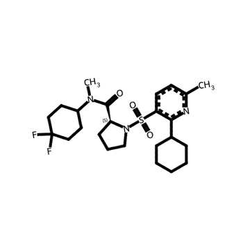 Cc1ccc(S(=O)(=O)N2CCC[C@H]2C(=O)N(C)C2CCC(F)(F)CC2)c(C2CCCCC2)n1